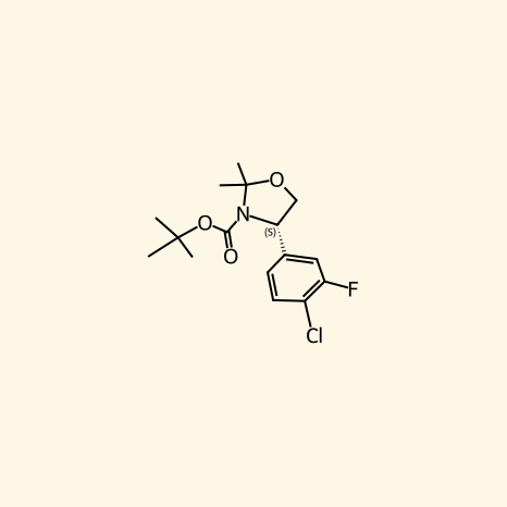 CC(C)(C)OC(=O)N1[C@@H](c2ccc(Cl)c(F)c2)COC1(C)C